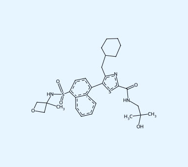 CC(C)(O)CNC(=O)c1nc(CC2CCCCC2)c(-c2ccc(S(=O)(=O)NC3(C)COC3)c3ccccc23)s1